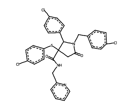 O=C1CC(Sc2ccc(Cl)cc2)(C(=O)NCc2ccccn2)C(c2ccc(Cl)cc2)N1Cc1ccc(Cl)cc1